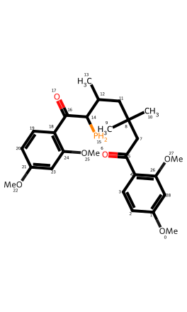 COc1ccc(C(=O)CC(C)(C)CC(C)C(P)C(=O)c2ccc(OC)cc2OC)c(OC)c1